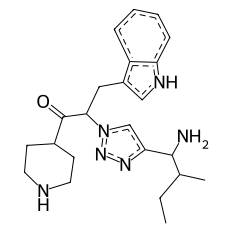 CCC(C)C(N)c1cn(C(Cc2c[nH]c3ccccc23)C(=O)C2CCNCC2)nn1